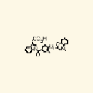 Cc1cc(C(=O)n2cc(CC(=O)O)c3ccccc32)ccc1OC[C@@H]1CN(C)c2ccccc2O1